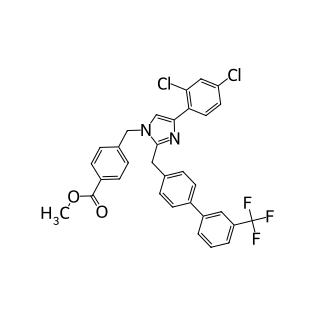 COC(=O)c1ccc(Cn2cc(-c3ccc(Cl)cc3Cl)nc2Cc2ccc(-c3cccc(C(F)(F)F)c3)cc2)cc1